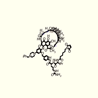 CC(=O)O[C@H]1[C@H](C)[C@H](O)[C@H](C)[C@@H](O)[C@@H](C)/C=C/C=C(/C)C(=O)Nc2c3oc4cc(N5CCN(CC(C)C)CC5)cc(OCc5ccc(NC(=O)[C@H](CCCNC(N)=O)NC(=O)C(NC(=O)CCCCCN6C(=O)C=CC6=O)C(C)C)cc5)c4nc-3c3c4c(c(C)c(O)c3c2=O)O[C@](C)(O/C=C/C[C@H]1C)C4=O